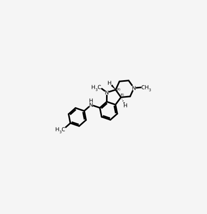 Cc1ccc(Nc2cccc3c2N(C)[C@@H]2CCN(C)C[C@@H]32)cc1